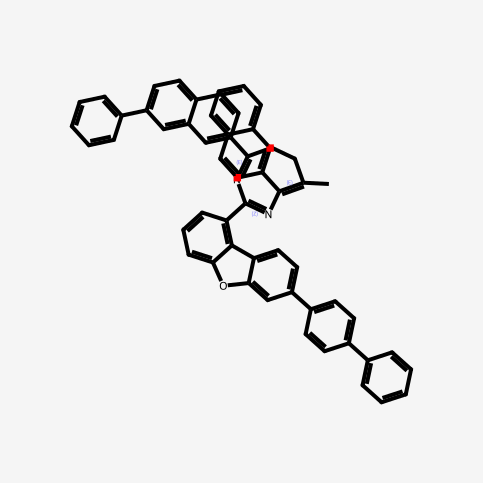 C\C1=C(c2ccc3ccccc3c2)/N=C(c2cccc3oc4cc(-c5ccc(-c6ccccc6)cc5)ccc4c23)\N=C(\c2ccc3ccc(-c4ccccc4)cc3c2)CC1